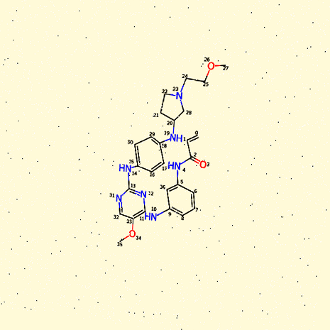 C=CC(=O)Nc1cccc(Nc2nc(Nc3ccc(NC4CCN(CCOC)C4)cc3)ncc2OC)c1